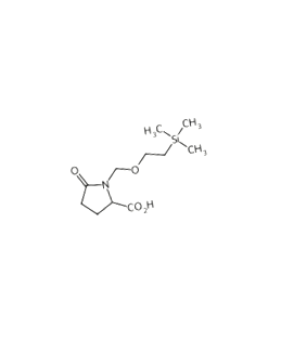 C[Si](C)(C)CCOCN1C(=O)CCC1C(=O)O